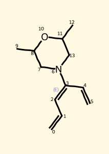 C=C/C=C(\C=C)N1CC(C)OC(C)C1